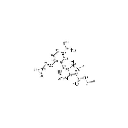 CCOC(=O)c1c(C)[nH]c2c(-c3cc(C(F)F)ccc3OCC3CC3)ncnc12